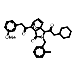 COc1cccc(CC(=O)C2C3C=CC4(O3)C2C(=O)N(Cc2ccccc2C)C4C(=O)CC2CCCCC2)c1